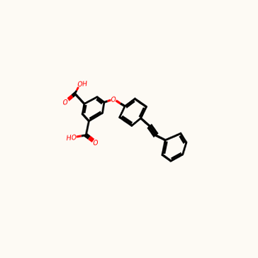 O=C(O)c1cc(Oc2ccc(C#Cc3ccccc3)cc2)cc(C(=O)O)c1